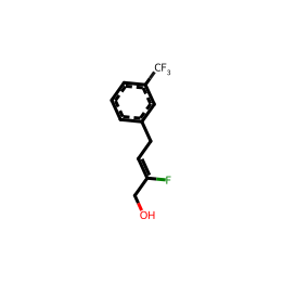 OC/C(F)=C/Cc1cccc(C(F)(F)F)c1